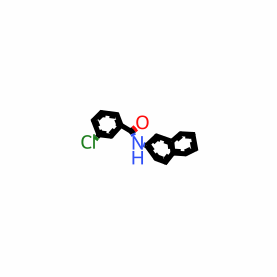 O=C(Nc1ccc2ccccc2c1)c1cccc(Cl)c1